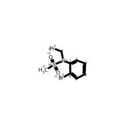 CC(C)CN(c1ccccc1Br)S(C)(=O)=O